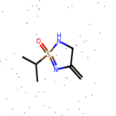 C=C1CNS(=O)(C(C)C)=N1